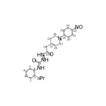 CC(C)c1ccccc1NC(=O)NNC(=O)CC1=CCN(c2ccc(N=O)cc2)CC1